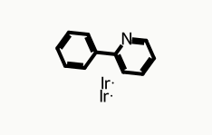 [Ir].[Ir].c1ccc(-c2ccccn2)cc1